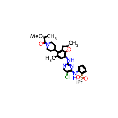 CO[C@H](C)C(=O)N1CCC(c2c(C)cc(Nc3ncc(Cl)c(Nc4ccccc4S(=O)(=O)C(C)C)n3)c3c2C[C@@H](C)O3)CC1